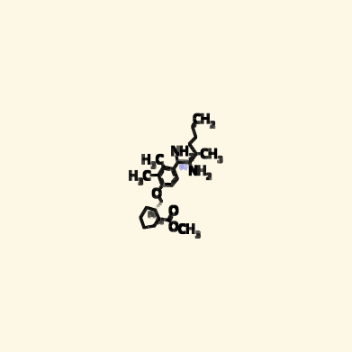 C=CCCC(C)/C(N)=C(\N)c1ccc(OC[C@H]2CCCC[C@@H]2C(=O)OC)c(C)c1C